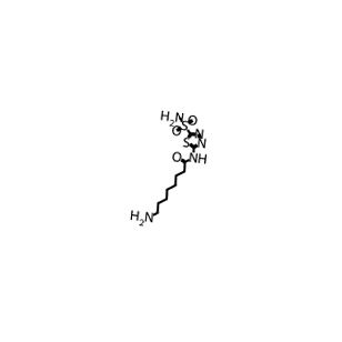 NCCCCCCCC(=O)Nc1nnc(S(N)(=O)=O)s1